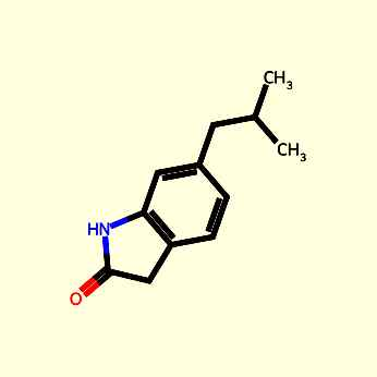 CC(C)Cc1ccc2c(c1)NC(=O)C2